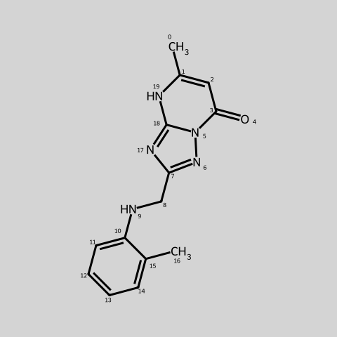 Cc1cc(=O)n2nc(CNc3ccccc3C)nc2[nH]1